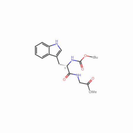 COC(=O)CNC(=O)[C@H](Cc1c[nH]c2ccccc12)NC(=O)OC(C)(C)C